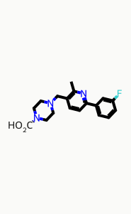 Cc1nc(-c2cccc(F)c2)ccc1CN1CCN(C(=O)O)CC1